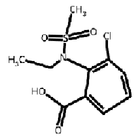 CCN(c1c(Cl)cccc1C(=O)O)S(C)(=O)=O